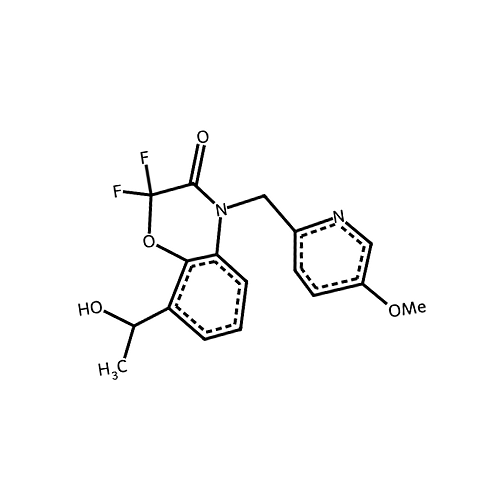 COc1ccc(CN2C(=O)C(F)(F)Oc3c(C(C)O)cccc32)nc1